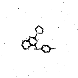 Fc1ccc(Nc2nc(N3CCCC3)nc3nccnc23)cc1